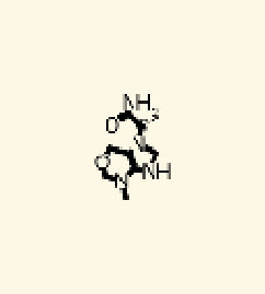 C[C@@H](C(N)=O)N1CNC2=C1COCN2C